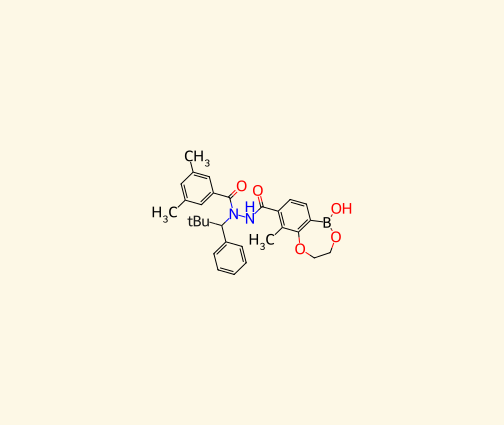 Cc1cc(C)cc(C(=O)N(NC(=O)c2ccc3c(c2C)OCCOB3O)C(c2ccccc2)C(C)(C)C)c1